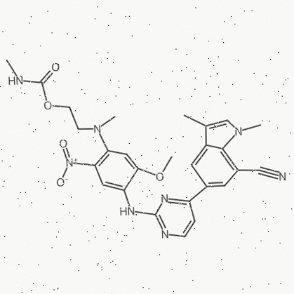 CNC(=O)OCCN(C)c1cc(OC)c(Nc2nccc(-c3cc(C#N)c4c(c3)c(C)cn4C)n2)cc1[N+](=O)[O-]